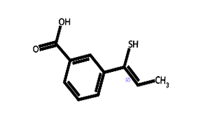 C/C=C(\S)c1cccc(C(=O)O)c1